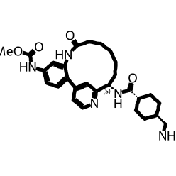 COC(=O)Nc1ccc2c(c1)NC(=O)CCCCC[C@H](NC(=O)[C@H]1CC[C@H](CN)CC1)c1cc-2ccn1